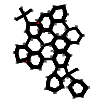 CC(C)(C)c1ccc(N(c2ccccc2-c2cccc3c2-c2ccccc2C3(C)c2ccccc2)c2ccccc2-c2cccc3cccc(C4CCCCC4)c23)c(-c2ccccc2)c1